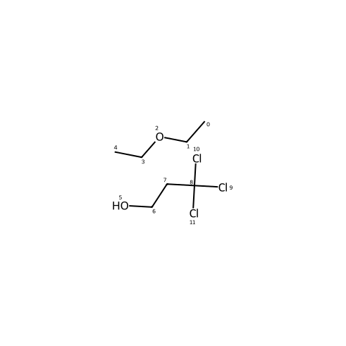 CCOCC.OCCC(Cl)(Cl)Cl